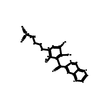 O=C(c1cc2nccnc2cn1)c1c(F)c(F)cc(CCCN[SH](=O)=O)c1Cl